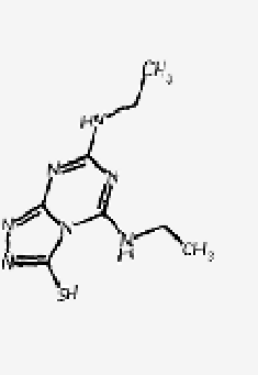 CCNc1nc(NCC)n2c(S)nnc2n1